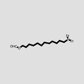 CCN(CC)CCCCCCCCCCCCOC=O